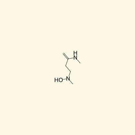 C=C(CCN(C)O)NC